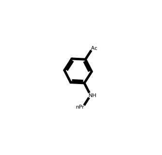 CCCNc1cccc(C(C)=O)c1